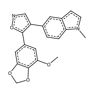 COc1cc(-c2oncc2-c2ccc3c(ccn3C)c2)cc2c1OCO2